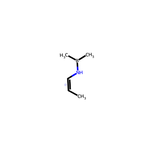 C/C=C\NB(C)C